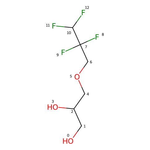 OCC(O)COCC(F)(F)C(F)F